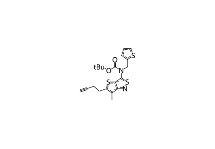 C#CCCc1sc2c(N(Cc3cccs3)C(=O)OC(C)(C)C)snc2c1C